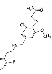 COc1cc(CNCCc2ccccc2F)cc(Cl)c1OCC(N)=O